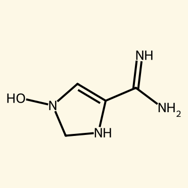 N=C(N)C1=CN(O)CN1